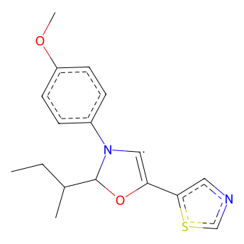 CCC(C)C1OC(c2cncs2)=[C]N1c1ccc(OC)cc1